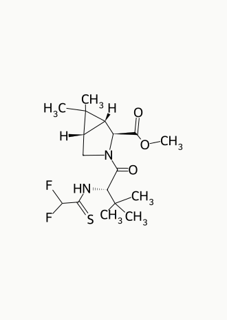 COC(=O)[C@@H]1[C@@H]2[C@H](CN1C(=O)[C@@H](NC(=S)C(F)F)C(C)(C)C)C2(C)C